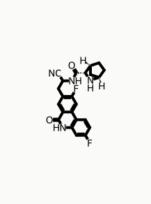 N#CC(Cc1cc2c(=O)[nH]c3cc(F)ccc3c2cc1F)NC(=O)[C@H]1N[C@@H]2CC[C@H]1C2